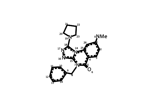 CNc1ccc2c(=O)n(Cc3ccccc3)c3nnc(N4CCCC4)n3c2c1